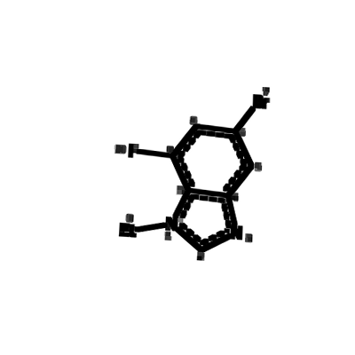 CCn1cnc2cc(Br)cc(F)c21